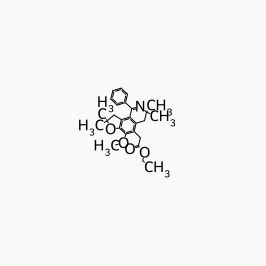 CCOC(=O)Cc1c2c(c3c(c1OC)OC(C)(C)C3)C(c1ccccc1)=NC(C)(C)C2